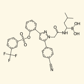 CC(C)CC(NC(=O)Cn1nc(-c2ccccc2OS(=O)(=O)c2cccc(C(F)(F)F)c2)cc1-c1ccc(C#N)cc1)B(O)O